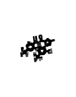 Cc1cc(C(=O)NNc2ncc(C(F)(F)F)cc2Cl)n(-c2ncc(C(F)(F)F)cc2Cl)c1